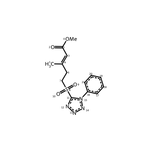 COC(=O)/C=C(\C)CCS(=O)(=O)c1nnnn1-c1ccccc1